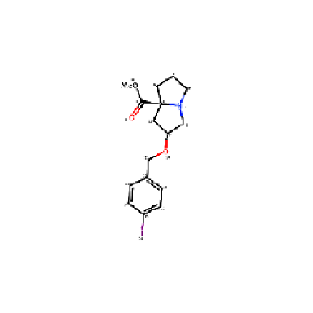 COC(=O)[C@@]12CCCN1C[C@@H](OCc1ccc(I)cc1)C2